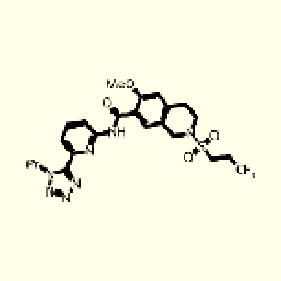 COc1cc2c(cc1C(=O)Nc1cccc(-c3nnnn3C(C)C)n1)CN(S(=O)(=O)CCC(F)(F)F)CC2